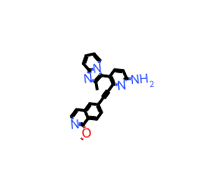 COc1nccc2cc(C#Cc3nc(N)ccc3-c3c(C)nc4ccccn34)ccc12